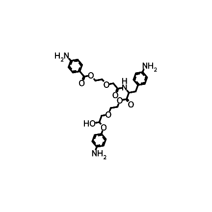 Nc1ccc(CC(NC(=O)COCCOC(=O)c2ccc(N)cc2)C(=O)OCCOCC(O)Oc2ccc(N)cc2)cc1